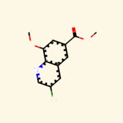 COC(=O)c1cc(OC)c2ncc(Br)cc2c1